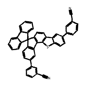 N#Cc1cccc(-c2ccc3c(c2)-c2c(ccc4c2sc2ccc(-c5cccc(C#N)c5)cc24)C32c3ccccc3-c3ccccc32)c1